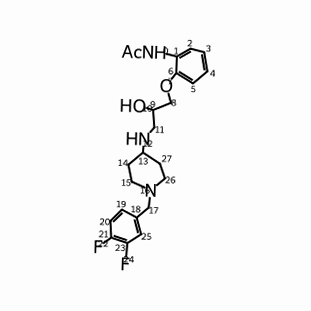 CC(=O)Nc1ccccc1OCC(O)CNC1CCN(Cc2ccc(F)c(F)c2)CC1